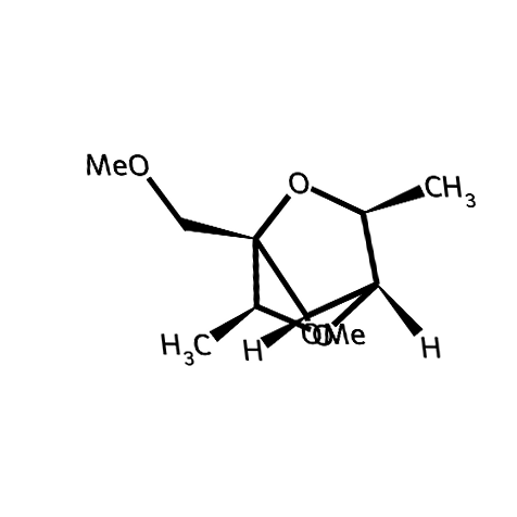 COC[C@]12O[C@@H](C)[C@H](O[C@H]1C)[C@@H]2OC